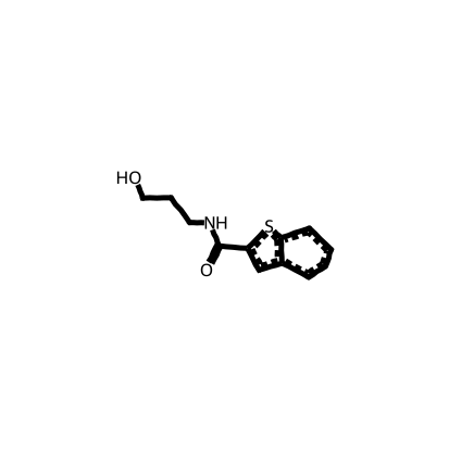 O=C(NCCCO)c1cc2ccccc2s1